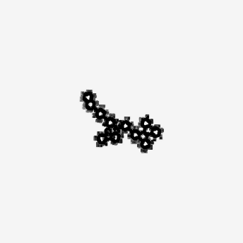 c1ccc(-c2c(-c3ccccc3)c3cc(-c4cccc(N(c5ccc(-c6ccc(-c7ccc8ccccc8c7)cc6)cc5)c5cccc6c5oc5ccccc56)c4)ccc3c3ccccc23)cc1